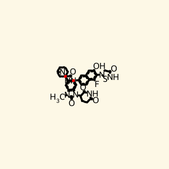 Cn1c(=O)n(C2CCC(=O)NC2=O)c2ccc(C3CC4CC(C3)N4CC(=O)Nc3ccc4c(F)c(N5CC(=O)NS5)c(O)cc4c3)cc21